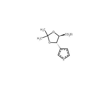 CCOC(=O)[C@@H]1OC(C)(C)O[C@H]1c1ccsc1